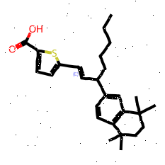 CCCCCC(/C=C/c1ccc(C(=O)O)s1)c1ccc2c(c1)C(C)(C)CCC2(C)C